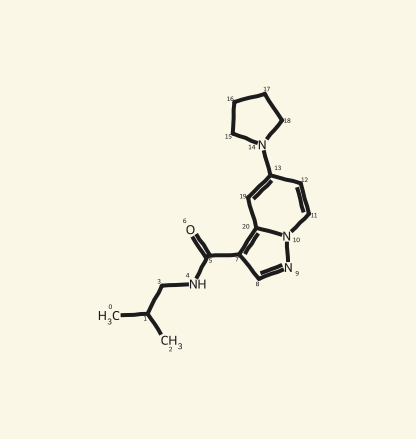 CC(C)CNC(=O)c1cnn2ccc(N3CCCC3)cc12